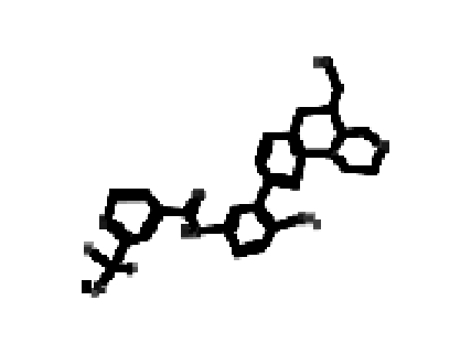 Cc1ccc(NC(=O)c2ccnc(C(C)(F)F)c2)cc1-c1ccc2c(c1)N1CCOCC1C(CO)C2